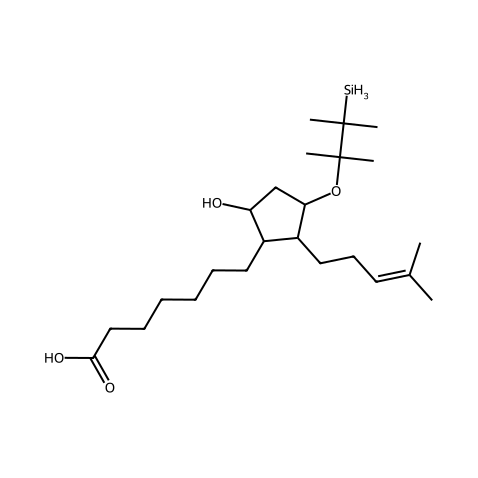 CC(C)=CCCC1C(OC(C)(C)C(C)(C)[SiH3])CC(O)C1CCCCCCC(=O)O